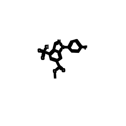 COC(=O)c1cc(S(=O)(=O)Cl)c2cnn(-c3ccc(F)cc3)c2c1